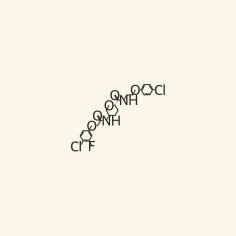 O=C(COc1ccc(Cl)c(F)c1)N[C@@H]1CC[C@@H](C(=O)NCCOc2ccc(Cl)cc2)OC1